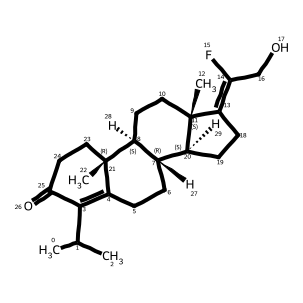 CC(C)C1=C2CC[C@@H]3[C@H](CC[C@]4(C)C(=C(F)CO)CC[C@@H]34)[C@@]2(C)CCC1=O